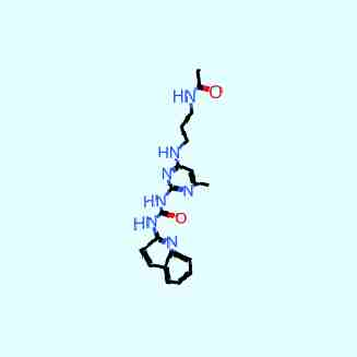 CC(=O)NCCCNc1cc(C)nc(NC(=O)Nc2ccc3ccccc3n2)n1